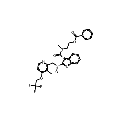 Cc1c(OCC(F)(F)F)ccnc1C[S+]([O-])c1nc2ccccc2n1C(=O)N(C)CCOC(=O)c1ccccc1